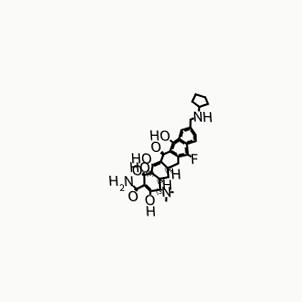 CN(C)[C@@H]1C(O)=C(C(N)=O)C(=O)[C@@]2(O)C(O)=C3C(=O)c4c(c(F)c5ccc(CNC6CCCC6)cc5c4O)C[C@H]3C[C@@H]12